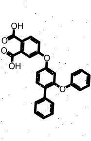 O=C(O)c1ccc(Oc2ccc(-c3ccccc3)c(Oc3ccccc3)c2)cc1C(=O)O